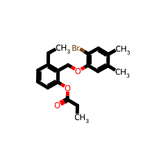 CCC(=O)Oc1cccc(CC)c1COc1cc(C)c(C)cc1Br